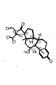 C[C@]12C=CC(=O)C=C1CC[C@@H]1[C@@H]2[C@@H](O)C[C@@]2(C)[C@H]1CC[C@]2(OC(=O)C(Cl)Cl)C(=O)OCCl